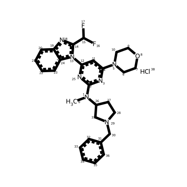 CN(c1nc(N2CCOCC2)cc(-n2c(C(F)F)nc3ccccc32)n1)C1CCN(Cc2ccccc2)C1.Cl